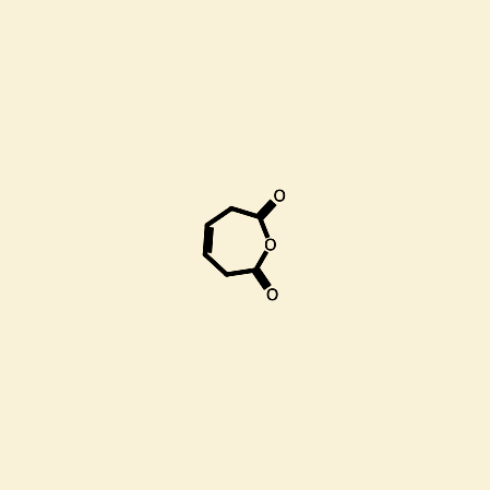 O=C1CC=CCC(=O)O1